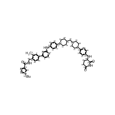 Cc1cc(-c2ccnc(Nc3ccc(N4CCC(CN5CCN(c6ccc(NC7CCC(=O)NC7=O)cn6)CC5)CC4)cc3)n2)ccc1CNC(=O)c1cn(C(C)(C)C)nn1